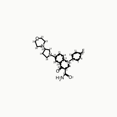 NC(=O)c1cn(-c2ccc(F)cc2)c2ccc(N3CCC(N4CCOCC4)C3)cc2c1=O